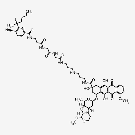 CCCCC(C)(I)c1nc(C(=O)NCCC(=O)NCC(=O)NCC(=O)NCCCNCCCNC(=O)[C@]2(O)Cc3c(O)c4c(c(O)c3[C@@H](O[C@H]3C[C@H]5[C@H](O[C@@H]6[C@@H](OC)OCCN65)[C@H](C)O3)C2)C(=O)c2c(OC)cccc2C4=O)ccc1C#N